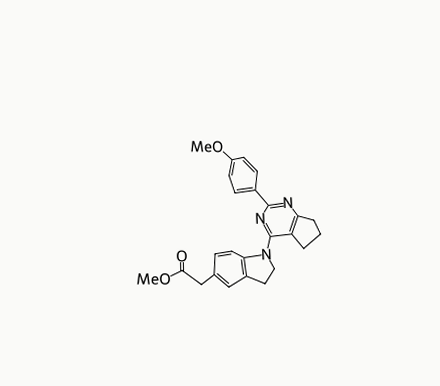 COC(=O)Cc1ccc2c(c1)CCN2c1nc(-c2ccc(OC)cc2)nc2c1CCC2